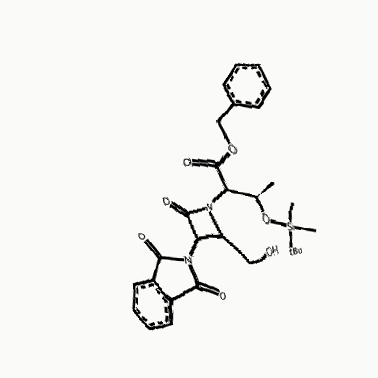 C[C@@H](O[Si](C)(C)C(C)(C)C)C(C(=O)OCc1ccccc1)N1C(=O)C(N2C(=O)c3ccccc3C2=O)C1CO